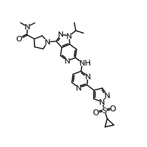 CC(C)n1nc(N2CCC(C(=O)N(C)C)C2)c2cnc(Nc3ccnc(-c4cnn(S(=O)(=O)C5CC5)c4)n3)cc21